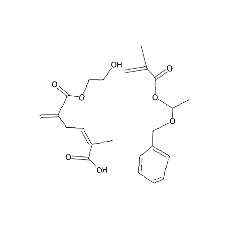 C=C(C)C(=O)OC(C)OCc1ccccc1.C=C(CC=C(C)C(=O)O)C(=O)OCCO